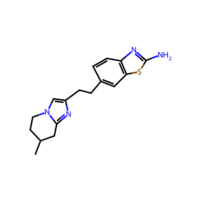 CC1CCn2cc(CCc3ccc4nc(N)sc4c3)nc2C1